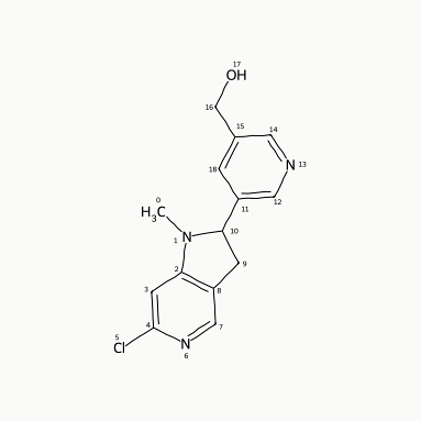 CN1c2cc(Cl)ncc2CC1c1cncc(CO)c1